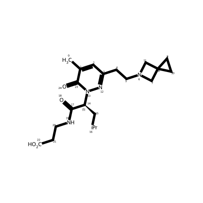 Cc1cc(CCN2CC3(CC3)C2)nn([C@@H](CC(C)C)C(=O)NCCC(=O)O)c1=O